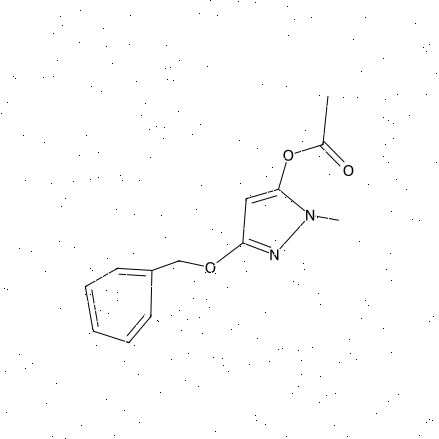 CC(=O)Oc1cc(OCc2ccccc2)nn1C